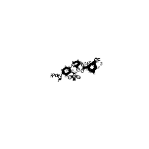 CC(C)N(C)[C@@H]1CC[C@H](N2CC[C@H](NC(=O)c3cccc(C(F)(F)F)c3)C2=O)[C@@H](CS(C)(=O)=O)C1